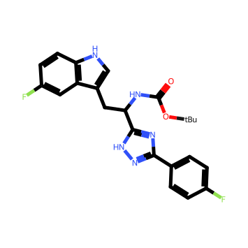 CC(C)(C)OC(=O)NC(Cc1c[nH]c2ccc(F)cc12)c1nc(-c2ccc(F)cc2)n[nH]1